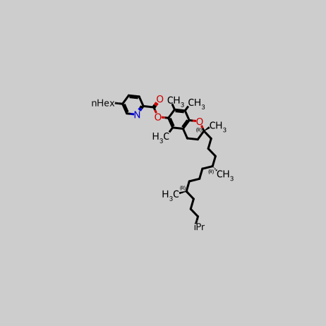 CCCCCCc1ccc(C(=O)Oc2c(C)c(C)c3c(c2C)CC[C@@](C)(CCC[C@H](C)CCC[C@H](C)CCCC(C)C)O3)nc1